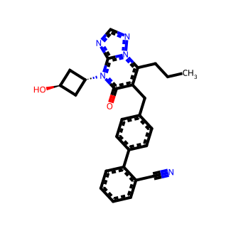 CCCc1c(Cc2ccc(-c3ccccc3C#N)cc2)c(=O)n([C@H]2C[C@H](O)C2)c2ncnn12